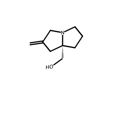 C=C1CN2CCC[C@@]2(CO)C1